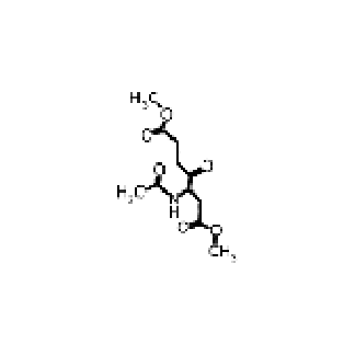 COC(=O)CCC(=O)C(CC(=O)OC)NC(C)=O